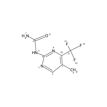 Cc1cnc(NC(N)=O)nc1C(F)(F)F